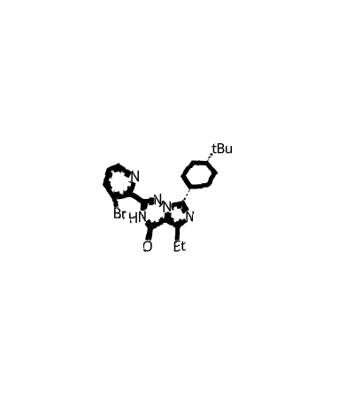 CCc1nc([C@H]2CC[C@@H](C(C)(C)C)CC2)n2nc(-c3ncccc3Br)[nH]c(=O)c12